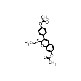 CCSC1Oc2cc(OC(C)=O)ccc2C=C1c1ccc(OC(C)=O)cc1